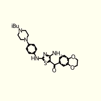 CCC(C)N1CCN(c2ccc(Nc3nc(N)c(C(=O)c4ccc5c(c4)OCCO5)s3)cc2)CC1